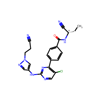 CC[C@@H](C#N)NC(=O)c1ccc(-c2nc(Nc3cnn(CCC#N)c3)ncc2Cl)cc1